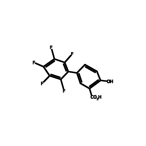 O=C(O)c1cc(-c2c(F)c(F)c(F)c(F)c2F)ccc1O